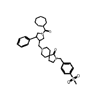 CS(=O)(=O)c1ccc(CN2CCC3(CCN(CC4CN(C(=O)C5CCCCCC5)CC4c4ccccc4)CC3)C2=O)cc1